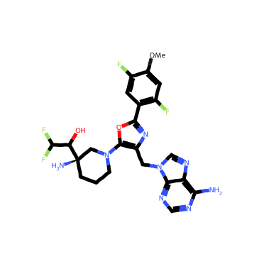 COc1cc(F)c(-c2nc(Cn3cnc4c(N)ncnc43)c(N3CCC[C@](N)(C(O)C(F)F)C3)o2)cc1F